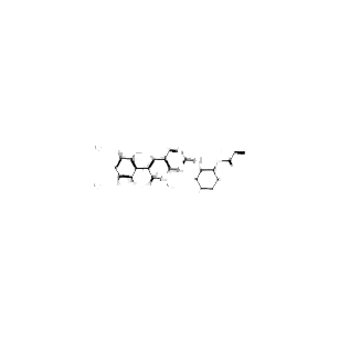 C=CC(=O)NC1CCCC[C@H]1Nc1ncc2cc(-c3c(Cl)c(OC)cc(OC)c3Cl)c(=O)n(C)c2n1